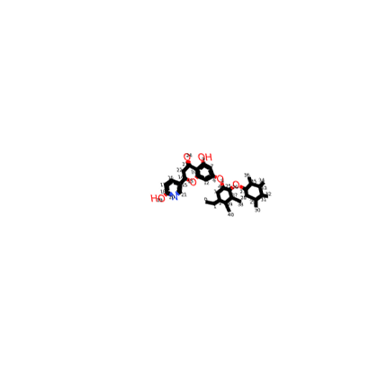 CCC1CC(Oc2cc(O)c3c(c2)OC(c2ccc(O)nc2)CC3=O)C(OC2CC(C)C(C)C(C)C2C)C(C)C1C